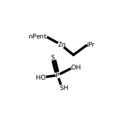 CCCC[CH2][Zn][CH2]C(C)C.OP(O)(=S)S